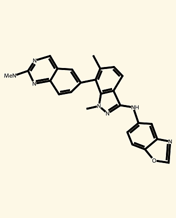 CNc1ncc2cc(-c3c(C)ccc4c(Nc5ccc6ocnc6c5)nn(C)c34)ccc2n1